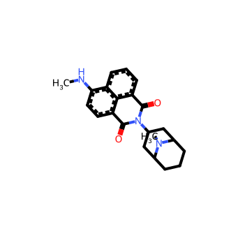 CNc1ccc2c3c(cccc13)C(=O)N(C1CC3CCCC(C1)N3C)C2=O